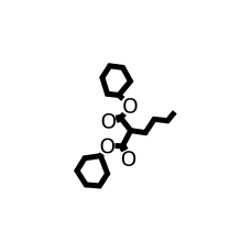 CCCCC(C(=O)OC1CCCCC1)C(=O)OC1CCCCC1